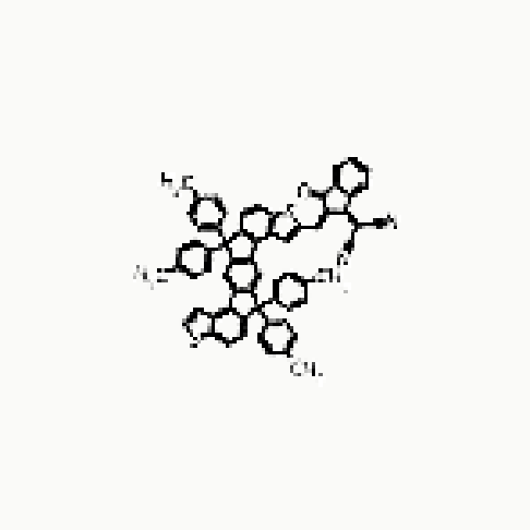 Cc1ccc(C2(c3ccc(C)cc3)c3cc4c(cc3-c3c2ccc2sccc32)C(c2ccc(C)cc2)(c2ccc(C)cc2)c2ccc3sc(/C=C5\C(=O)c6ccccc6C5=C(C#N)C#N)cc3c2-4)cc1